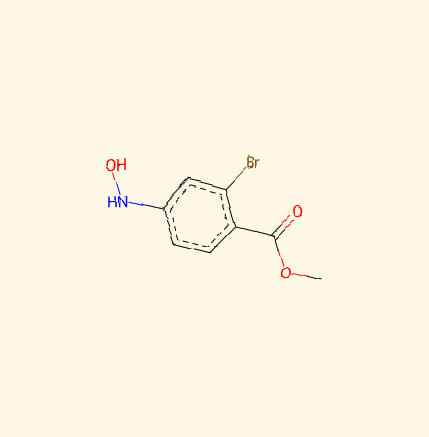 COC(=O)c1ccc(NO)cc1Br